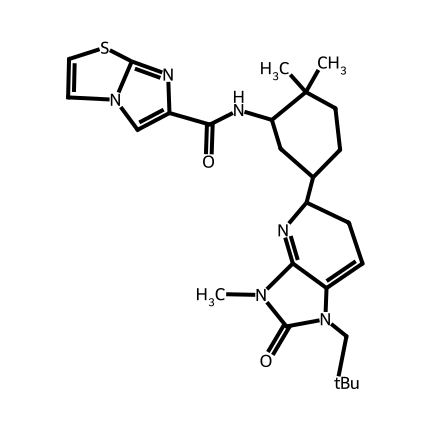 Cn1c2c(n(CC(C)(C)C)c1=O)=CCC(C1CCC(C)(C)C(NC(=O)c3cn4ccsc4n3)C1)N=2